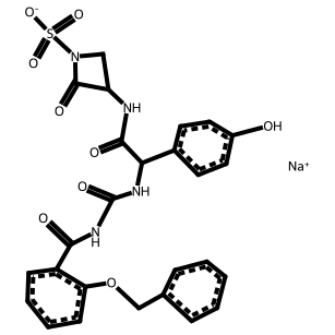 O=C(NC(=O)c1ccccc1OCc1ccccc1)NC(C(=O)NC1CN(S(=O)(=O)[O-])C1=O)c1ccc(O)cc1.[Na+]